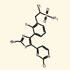 CCC(Cc1cccc(-c2nc(C(C)(C)C)sc2-c2ccnc(Cl)n2)c1F)S(N)(=O)=O